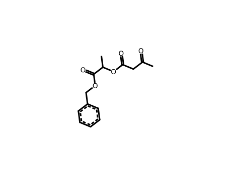 CC(=O)CC(=O)OC(C)C(=O)OCc1ccccc1